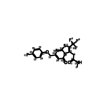 CNC(=O)Cc1c(C(F)(F)F)sc2nc(COc3ccc(F)cc3)cc(=O)n12